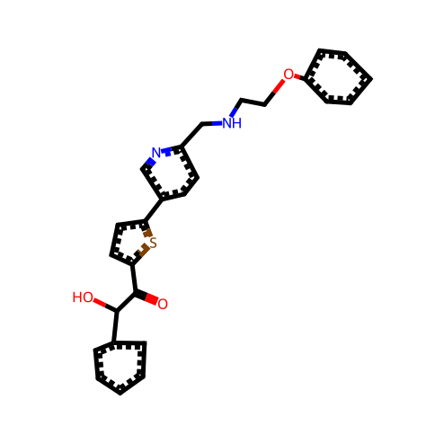 O=C(c1ccc(-c2ccc(CNCCOc3ccccc3)nc2)s1)C(O)c1ccccc1